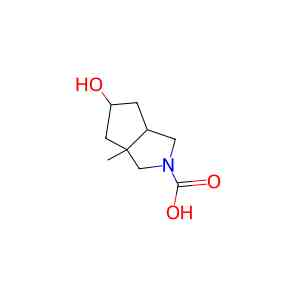 CC12CC(O)CC1CN(C(=O)O)C2